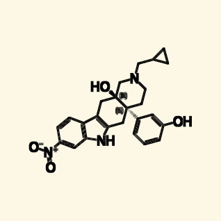 O=[N+]([O-])c1ccc2c3c([nH]c2c1)C[C@]1(c2cccc(O)c2)CCN(CC2CC2)C[C@@]1(O)C3